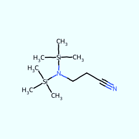 C[Si](C)(C)N(CCC#N)[Si](C)(C)C